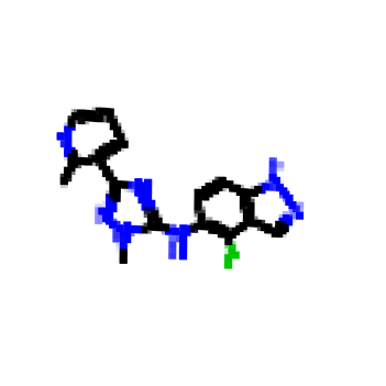 Cc1ncccc1-c1nc(Nc2ccc3[nH]ncc3c2Cl)n(C)n1